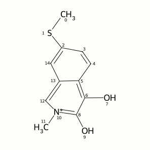 CSc1ccc2c(O)c(O)[n+](C)cc2c1